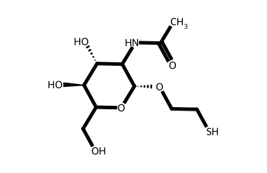 CC(=O)NC1[C@H](OCCS)OC(CO)[C@@H](O)[C@@H]1O